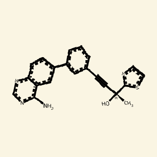 C[C@@](O)(C#Cc1cccc(-c2ccc3ncnc(N)c3c2)c1)c1nccs1